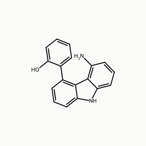 Nc1cccc2[nH]c3cccc(-c4ccccc4O)c3c12